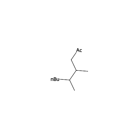 CCCCC(C)C(C)CC(C)=O